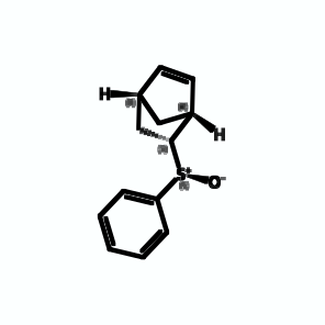 [O-][S@@+](c1ccccc1)[C@@H]1C[C@@H]2C=C[C@H]1C2